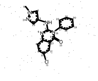 Cn1cc(Nc2nc3ccc(Cl)cc3c(=O)n2-c2ccccc2)cn1